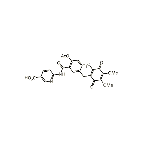 COC1=C(OC)C(=O)C(Cc2ccc(OC(C)=O)c(C(=O)Nc3ccc(C(=O)O)cn3)c2)=C(C)C1=O